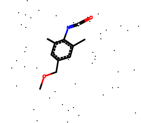 COCc1cc(C)c(N=C=O)c(C)c1